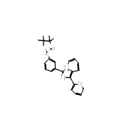 CC1(C)OB(c2cccc(-c3nc(-c4ccccn4)c4ccccn34)c2)OC1(C)C